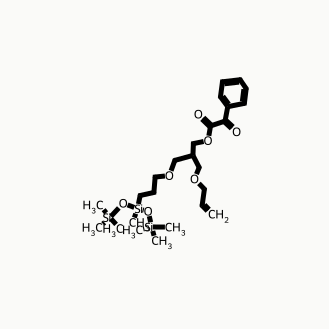 C=CCOCC(COCCC[Si](C)(O[Si](C)(C)C)O[Si](C)(C)C)COC(=O)C(=O)c1ccccc1